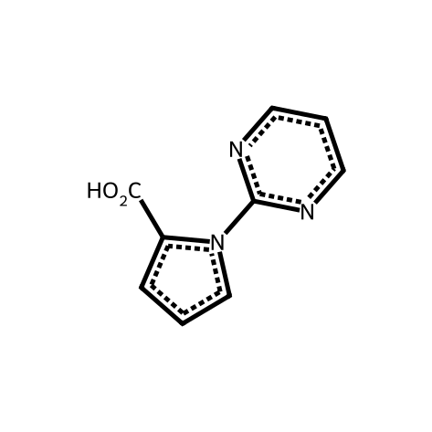 O=C(O)c1cccn1-c1ncccn1